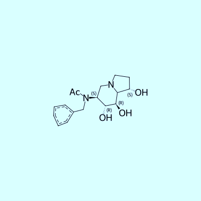 CC(=O)N(Cc1ccccc1)[C@H]1CN2CC[C@H](O)C2[C@@H](O)[C@@H]1O